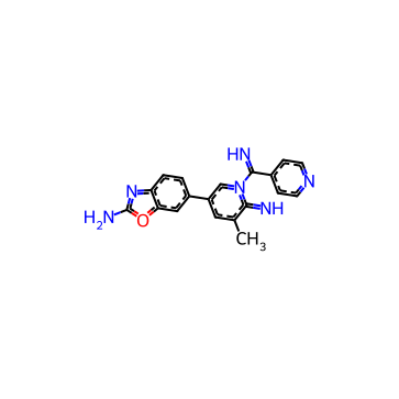 Cc1cc(-c2ccc3nc(N)oc3c2)cn(C(=N)c2ccncc2)c1=N